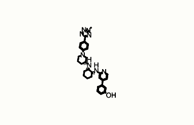 Cn1nnc(-c2ccc(N3CCC[C@H](N[C@@H]4CCCC[C@H]4Nc4cc(-c5cccc(O)c5)ccn4)C3)cc2)n1